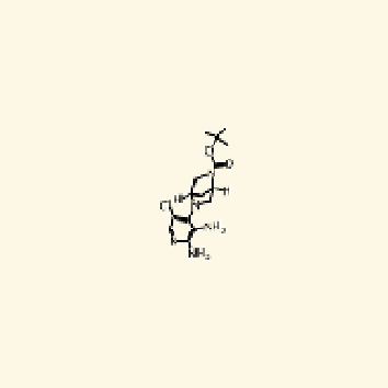 CC(C)(C)OC(=O)N1C[C@@H]2C[C@H]1CN2c1c(Cl)cnc(N)c1N